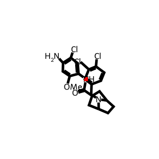 COc1cc(N)c(Cl)cc1NC(=O)C1CC2CCC(C1)N2Cc1ccc(Cl)c(Cl)c1